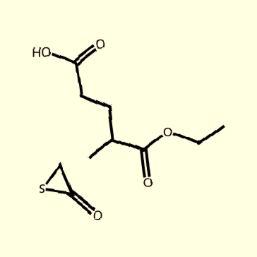 CCOC(=O)C(C)CCC(=O)O.O=C1CS1